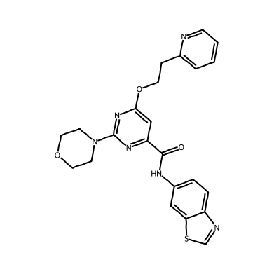 O=C(Nc1ccc2ncsc2c1)c1cc(OCCc2ccccn2)nc(N2CCOCC2)n1